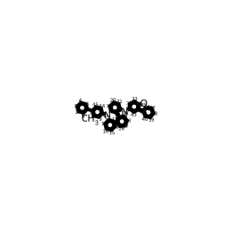 Cc1ccccc1-c1ccc(N(c2ccccc2)c2cccc3c2c2ccccc2n3-c2ccc3oc4ccccc4c3c2)cc1